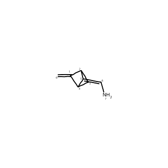 C=C1C2CC1C2=CN